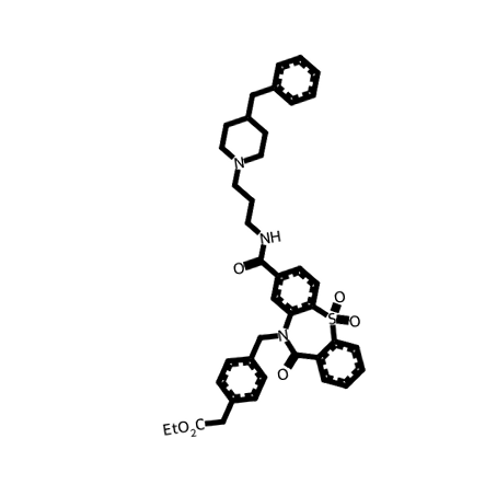 CCOC(=O)Cc1ccc(CN2C(=O)c3ccccc3S(=O)(=O)c3ccc(C(=O)NCCCN4CCC(Cc5ccccc5)CC4)cc32)cc1